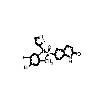 Cc1cc(Br)c(F)cc1N(c1ccon1)S(=O)(=O)c1ccc2[nH]c(=O)ccc2c1